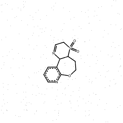 O=S1(=O)CC=NC2c3cccnc3OCCC21